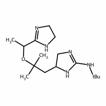 CC(OC(C)(C)CC1CN=C(NC(C)(C)C)N1)C1=NCCN1